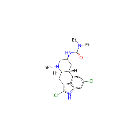 CCCN1C[C@@H](NC(=O)N(CC)CC)C[C@@H]2c3cc(Cl)cc4[nH]c(Cl)c(c34)C[C@H]21